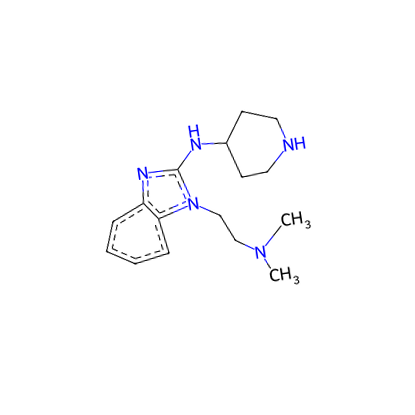 CN(C)CCn1c(NC2CCNCC2)nc2ccccc21